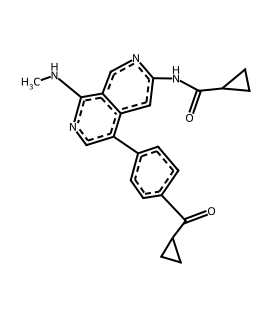 CNc1ncc(-c2ccc(C(=O)C3CC3)cc2)c2cc(NC(=O)C3CC3)ncc12